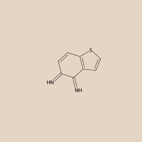 N=C1C=Cc2sccc2C1=N